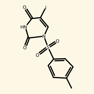 Cc1ccc(S(=O)(=O)n2cc(I)c(=O)[nH]c2=O)cc1